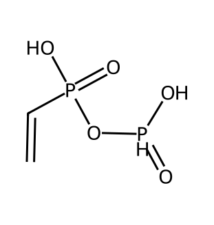 C=CP(=O)(O)O[PH](=O)O